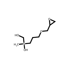 C[Si](O)(CO)CCCOCC1CO1